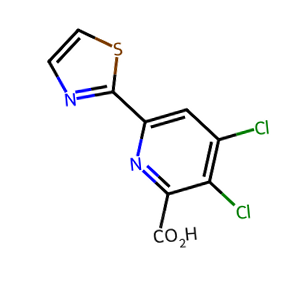 O=C(O)c1nc(-c2nccs2)cc(Cl)c1Cl